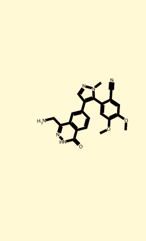 COc1cc(C#N)c(-c2c(-c3ccc4c(=O)[nH]nc(CN)c4c3)cnn2C)cc1OC